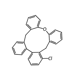 Clc1cccc2c1Cc1ccccc1Oc1ccccc1Cc1ccccc1-2